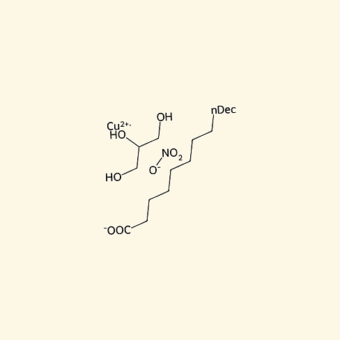 CCCCCCCCCCCCCCCCCC(=O)[O-].O=[N+]([O-])[O-].OCC(O)CO.[Cu+2]